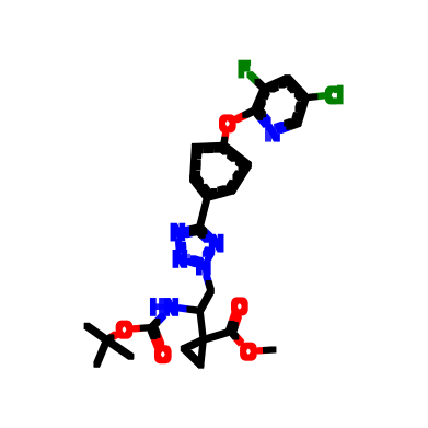 COC(=O)C1(C(Cn2nnc(-c3ccc(Oc4ncc(Cl)cc4F)cc3)n2)NC(=O)OC(C)(C)C)CC1